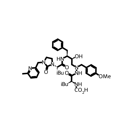 CC[C@H](C)[C@H](NC(=O)O)C(=O)NN(Cc1ccc(OC)cc1)C[C@H](O)[C@H](Cc1ccccc1)NC(=O)[C@H]([C@@H](C)CC)N1CCN(Cc2cccc(C)n2)C1=O